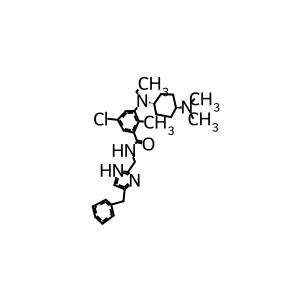 CCN(c1cc(Cl)cc(C(=O)NCc2nc(Cc3ccccc3)c[nH]2)c1C)[C@H]1CC[C@H](N(C)C)CC1